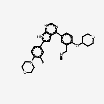 C=NCc1cc(-c2ncnc3[nH]c(-c4ccc(N5CCOCC5)c(F)c4)cc23)ccc1OC1CCOCC1